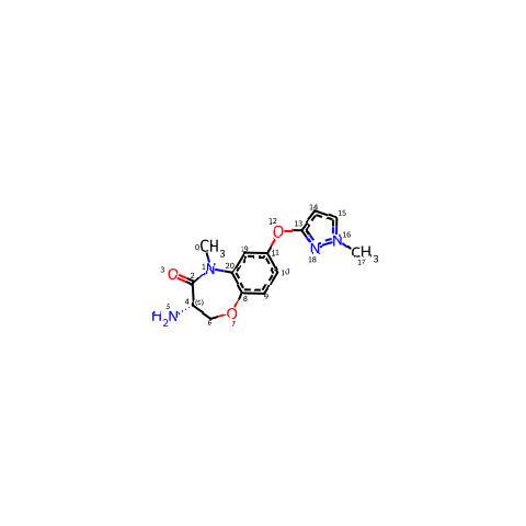 CN1C(=O)[C@@H](N)COc2ccc(Oc3ccn(C)n3)cc21